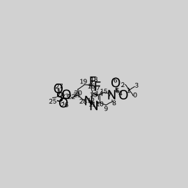 CC(C)(C)OC(=O)N1CCc2nn3c(c2C1)C(F)(F)CCC(COS(C)(=O)=O)C3